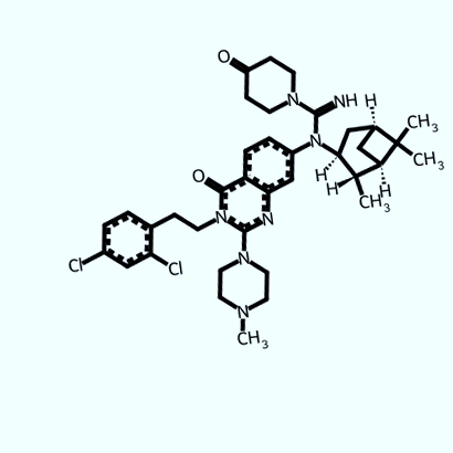 C[C@H]1[C@H]2C[C@@H](C[C@@H]1N(C(=N)N1CCC(=O)CC1)c1ccc3c(=O)n(CCc4ccc(Cl)cc4Cl)c(N4CCN(C)CC4)nc3c1)C2(C)C